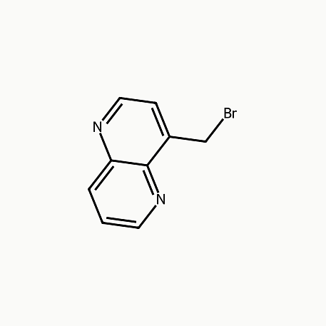 BrCc1ccnc2cccnc12